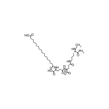 CCN[C@@H](CCCCNC(=O)CC[C@H](NC(=O)CC[C@H](NC(=O)CCCCCCCCCCCCCCCCC(=O)O)C(=O)O)C(=O)O)C(=O)P